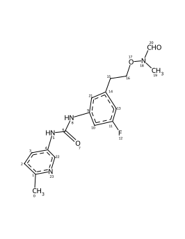 Cc1ccc(NC(=O)Nc2cc(F)cc(CCON(C)C=O)c2)cn1